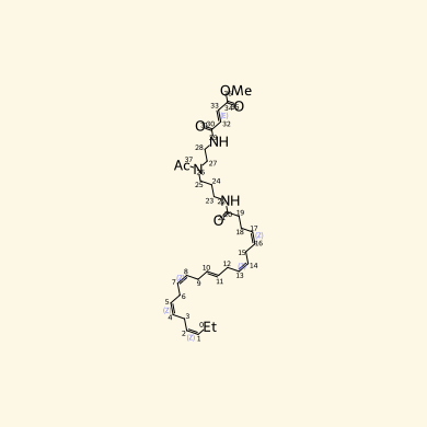 CC/C=C\C/C=C\C/C=C\CC=CC/C=C\C/C=C\CCC(=O)NCCCN(CCNC(=O)/C=C/C(=O)OC)C(C)=O